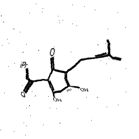 CC(C)=CCC1C(=O)C(C(=O)C(C)C)=C(O)[C@@H]1O